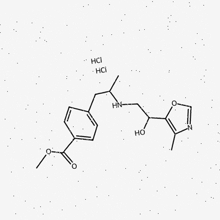 COC(=O)c1ccc(CC(C)NCC(O)c2ocnc2C)cc1.Cl.Cl